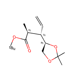 C=C[C@H]([C@@H]1COC(C)(C)O1)[C@H](C)C(=O)OC(C)(C)C